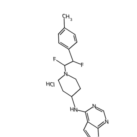 Cc1ccc(C(F)C(F)N2CCC(Nc3ncnc4[nH]ccc34)CC2)cc1.Cl